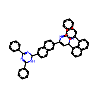 C1=C(c2ccc3cc(C4N=C(c5ccccc5)N=C(c5ccccc5)N4)ccc3c2)N=C(c2ccccc2)NC1c1cccc2cccc(-c3ccccc3)c12